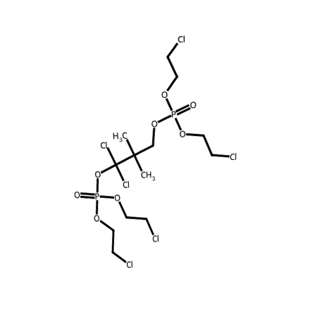 CC(C)(COP(=O)(OCCCl)OCCCl)C(Cl)(Cl)OP(=O)(OCCCl)OCCCl